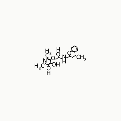 CCCC(CNCC(O)COc1c(C)nc(C)c(O)c1O)Oc1ccccc1